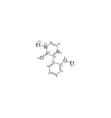 CCOc1ccccc1-c1nccn(CC)c1=O